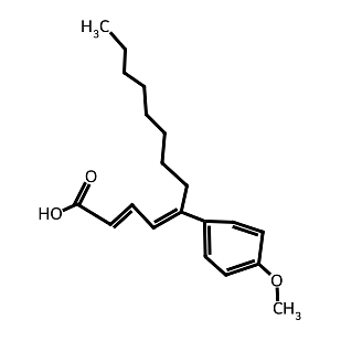 CCCCCCCCC(=CC=CC(=O)O)c1ccc(OC)cc1